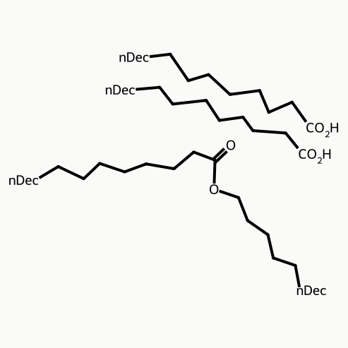 CCCCCCCCCCCCCCCCCC(=O)O.CCCCCCCCCCCCCCCCCC(=O)O.CCCCCCCCCCCCCCCCCC(=O)OCCCCCCCCCCCCCCC